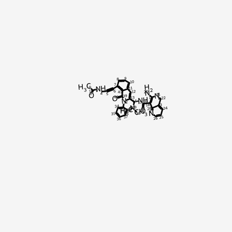 CC(=O)NCC#Cc1cccc2cc([C@@H](NC(=O)c3c(N)ncc4cccnc34)N(C)C)n(-c3ccccc3)c(=O)c12